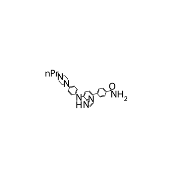 CCCN1CCN(c2ccc(Nc3ccc(-c4ccc(C(N)=O)cc4)n4ccnc34)cc2)CC1